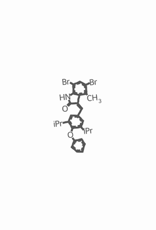 Cc1c(Br)cc(Br)c2c1C(=Cc1cc(C(C)C)c(Oc3ccccc3)c(C(C)C)c1)C(=O)N2